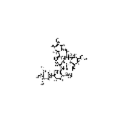 COc1cc(F)c([C@@H]2CN(c3nc(N4C[C@@H](C)N(C)[C@@H](C)C4)ccc3C#N)C(=O)[C@H]2NC(=O)c2ccc(Cl)cc2)c(P)c1